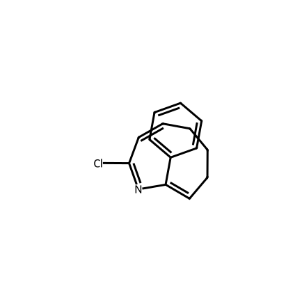 ClC1=N/C(c2ccccc2)=C/CCC/C=C\1